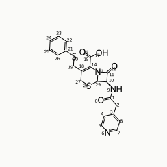 O=C(Cc1ccncc1)N[C@@H]1C(=O)N2C(C(=O)O)=C(CSc3ccccc3)CSC12